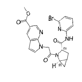 COC(=O)c1cnc2c(ccn2CC(=O)N2[C@@H]3CC3C[C@H]2C(=O)Nc2cccc(Br)n2)c1